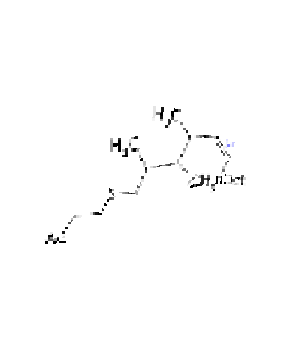 CCCCCCCC/C=C\C(C)C(C)C(C)CSCCC(C)=O